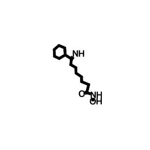 N=C(CCCCCCC(=O)NO)C1CCCCC1